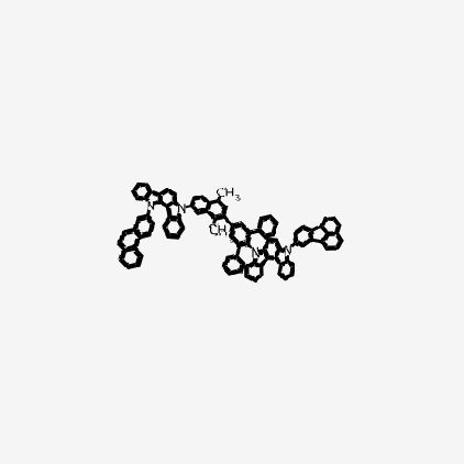 Cc1cc(-c2cc(-c3ccccc3)c(-n3c4ccccc4c4c5c6ccccc6n(-c6ccc7c(c6)-c6cccc8cccc-7c68)c5ccc43)c(-c3ccccc3)c2)c(C)c2cc(-n3c4ccccc4c4c3ccc3c5ccccc5n(-c5ccc6c(ccc7ccccc76)c5)c34)ccc12